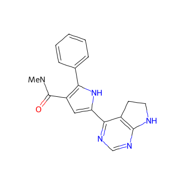 CNC(=O)c1cc(-c2ncnc3c2CCN3)[nH]c1-c1ccccc1